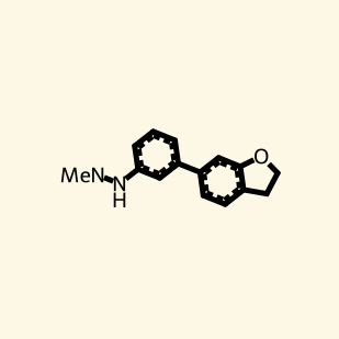 CNNc1cccc(-c2ccc3c(c2)OCC3)c1